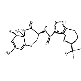 CC1=CC(F)C2(C)NC(=O)[C@@H](NC(=O)c3n[nH]c4c3C[C@H](C(F)(F)F)CC4)COC2=C1